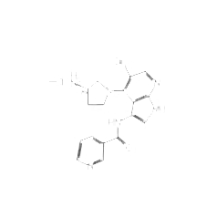 Cl.N[C@@H]1CCN(c2c(Br)cnc3[nH]cc(NC(=O)c4cccnc4)c23)C1